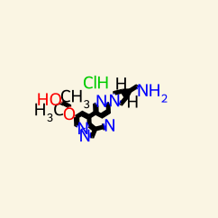 CC(C)(O)COc1cc(-c2ccc(N3C[C@@H]4C(CN)[C@@H]4C3)nc2)c2c(C#N)cnn2c1.Cl